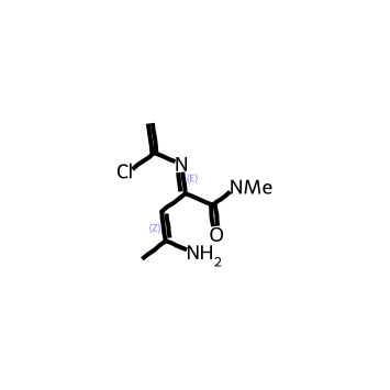 C=C(Cl)/N=C(\C=C(\C)N)C(=O)NC